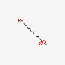 CCOC(=O)CCCCCCCCCCCCCCBr